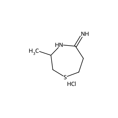 CC1CSCCC(=N)N1.Cl